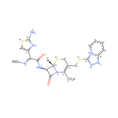 CON=C(C(=O)N[C@@H]1C(=O)N2C(C(=O)O)=C(CSc3nnc4ccccn34)CS[C@@H]12)c1csc(N)n1